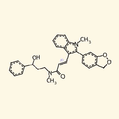 CN(CCC(O)c1ccccc1)C(=O)/C=C/c1c(-c2ccc3c(c2)OOC3)n(C)c2ccccc12